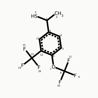 CC(S)c1ccc(OC(F)(F)F)c(C(F)(F)F)c1